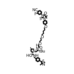 Cc1ncsc1-c1ccc(CNC(O)[C@@H]2C[C@@H](C)CN2C[C@@H](NC(=O)COCCCOCCCCCOc2ccc(N3C(=S)N(c4ccc(C#N)c(F)c4)C(=O)C3(C)C)cc2)C(C)(C)C)cc1